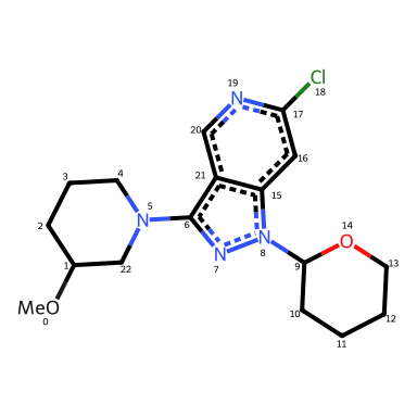 COC1CCCN(c2nn(C3CCCCO3)c3cc(Cl)ncc23)C1